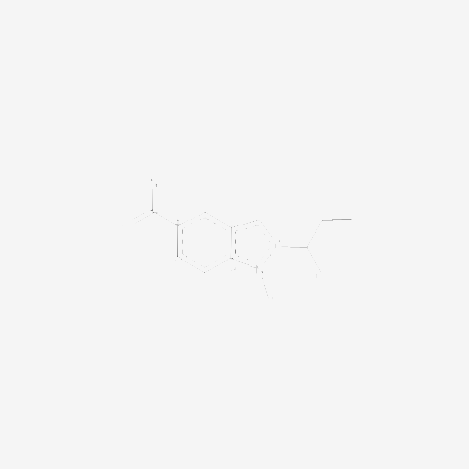 CCC(C)c1cc2cc(C(N)=O)ccc2n1C